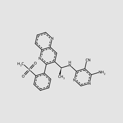 C[C@H](Nc1ncnc(N)c1C#N)c1cc2ncccc2nc1-c1ccccc1S(C)(=O)=O